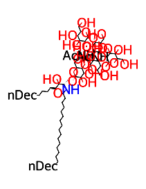 CCCCCCCCCCCCC/C=C/[C@@H](O)[C@H](CO[C@@H]1OC(CO)[C@@H](O[C@@H]2OC(CO)[C@H](O[C@@H]3OC(CO)[C@H](O)[C@H](O)C3NC(C)=O)[C@H](O[C@@H]3OC(CO)[C@@H](O[C@@H]4OC(CO)[C@H](O)[C@H](O)C4O)[C@H](O)C3NC(C)=O)C2O)[C@H](O)C1O)NC(=O)CCCCCCCCCCCCCCCCCCCCCCCCC